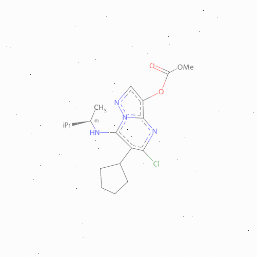 COC(=O)Oc1cnn2c(N[C@H](C)C(C)C)c(C3CCCC3)c(Cl)nc12